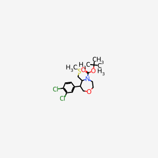 CSCC1C(c2ccc(Cl)c(Cl)c2)COCCN1C(=O)OC(C)(C)C